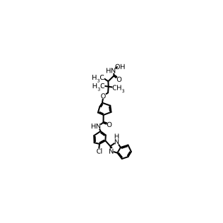 CC(C(=O)NO)C(C)(C)COc1ccc(C(=O)Nc2ccc(Cl)c(-c3nc4ccccc4[nH]3)c2)cc1